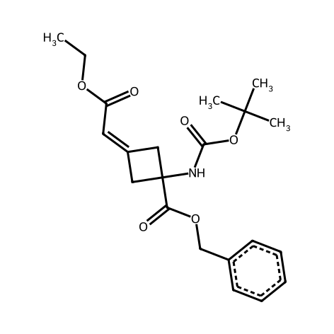 CCOC(=O)C=C1CC(NC(=O)OC(C)(C)C)(C(=O)OCc2ccccc2)C1